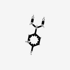 O=NB(N=O)c1ccc(F)nc1